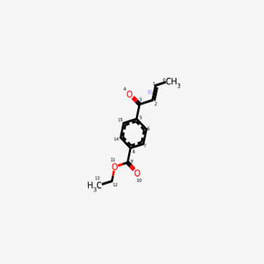 C/C=C/C(=O)c1ccc(C(=O)OCC)cc1